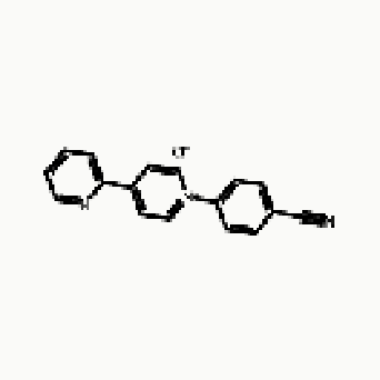 N#Cc1ccc(-[n+]2ccc(-c3ccccn3)cc2)cc1.[Cl-]